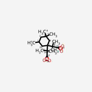 CC1CC(C)(C)CC(C(C)(C)C2OO2)(C(C)(C)C2OO2)C1